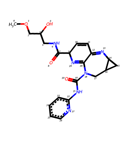 COCC(O)CNC(=O)C1C=CC2=NC3CC3CN(C(=O)Nc3ccccn3)C2=N1